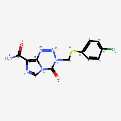 NC(=O)c1ncn2c(=O)n(CSc3ccc(Cl)cc3)nnc12